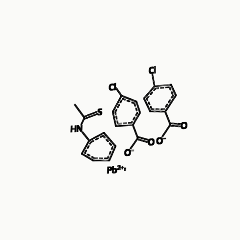 CC(=S)Nc1ccccc1.O=C([O-])c1ccc(Cl)cc1.O=C([O-])c1ccc(Cl)cc1.[Pb+2]